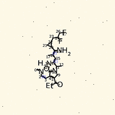 C=N/C=C\C1=C(C(=O)CC)CN(C(C)/C(N)=C/C(C)=C(\N)C2CC2CC(F)CF)C1=O